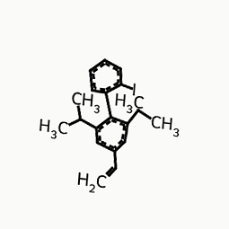 C=Cc1cc(C(C)C)c(-c2ccccc2I)c(C(C)C)c1